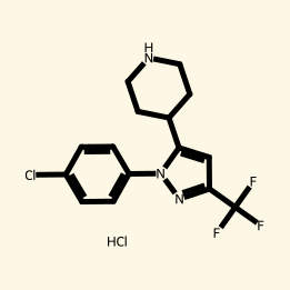 Cl.FC(F)(F)c1cc(C2CCNCC2)n(-c2ccc(Cl)cc2)n1